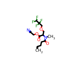 C=CCCC(=O)N(C)C(COCC(F)(F)C(F)F)C(=O)OCC#N